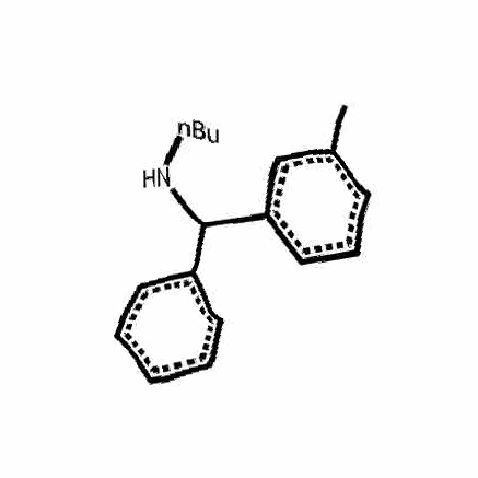 CCCCNC(c1ccccc1)c1cccc(C)c1